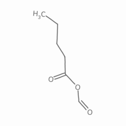 CCCCC(=O)OC=O